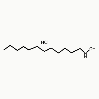 CCCCCCCCCCCCNO.Cl